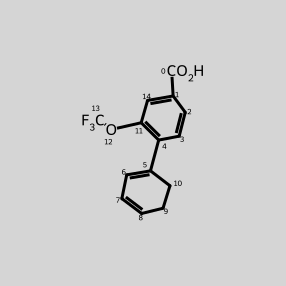 O=C(O)c1ccc(C2=CC=CCC2)c(OC(F)(F)F)c1